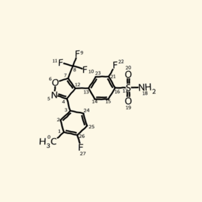 Cc1cc(-c2noc(C(F)(F)F)c2-c2ccc(S(N)(=O)=O)c(F)c2)ccc1F